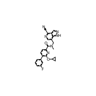 CN(Cc1cnc(C#N)c2cn[nH]c12)C(=O)c1ccc(-c2cccc(F)c2)c(OC2CC2)n1